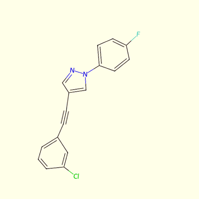 Fc1ccc(-n2cc(C#Cc3cccc(Cl)c3)cn2)cc1